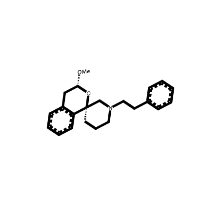 CO[C@H]1Cc2ccccc2[C@@]2(CCCN(CCc3ccccc3)C2)O1